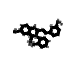 Cc1cccc(C=Cc2nc3ccc(Br)cc3c(=O)n2-c2ccccc2C)n1